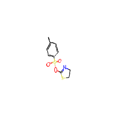 Cc1ccc(S(=O)(=O)OC2=NCCS2)cc1